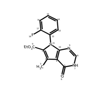 CCOC(=O)c1c(C)c2c(=O)[nH]cnc2n1-c1ccccc1F